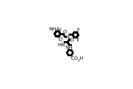 CC(=O)Nc1cccc(Cl)c1C(=O)CN(Cc1cc(F)cc(F)c1)C(=O)/C(C=N)=C(\C)N[C@H]1CC[C@H](C(=O)O)CC1